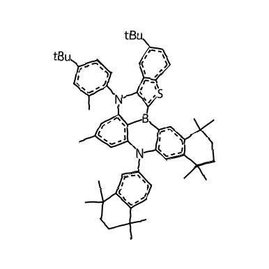 Cc1cc2c3c(c1)N(c1ccc(C(C)(C)C)cc1C)c1c(sc4ccc(C(C)(C)C)cc14)B3c1cc3c(cc1N2c1ccc2c(c1)C(C)(C)CCC2(C)C)C(C)(C)CCC3(C)C